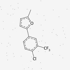 Cc1ccc(-c2ccc(Cl)c(C(F)(F)F)c2)o1